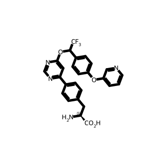 N[C@@H](Cc1ccc(-c2cc(OC(c3ccc(Oc4cccnc4)cc3)C(F)(F)F)ncn2)cc1)C(=O)O